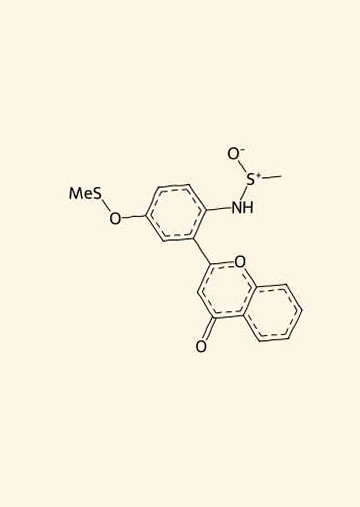 CSOc1ccc(N[S+](C)[O-])c(-c2cc(=O)c3ccccc3o2)c1